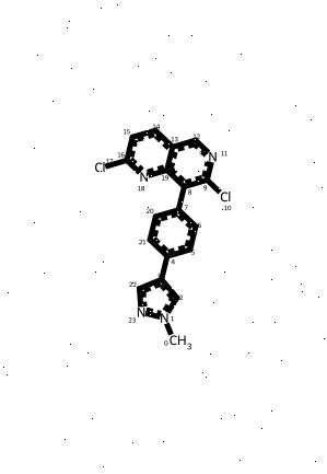 Cn1cc(-c2ccc(-c3c(Cl)ncc4ccc(Cl)nc34)cc2)cn1